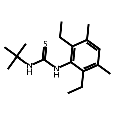 CCc1c(C)cc(C)c(CC)c1NC(=S)NC(C)(C)C